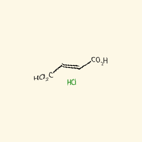 Cl.O=C(O)/C=C/C(=O)O